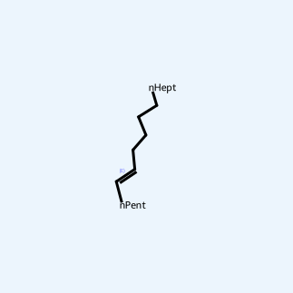 [CH2]CCCC/C=C/CCCCCCCCCC[CH2]